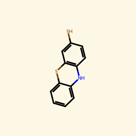 Sc1ccc2c(c1)Sc1ccccc1N2